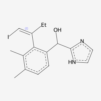 CC/C(=C/I)c1c(C(O)c2ncc[nH]2)ccc(C)c1C